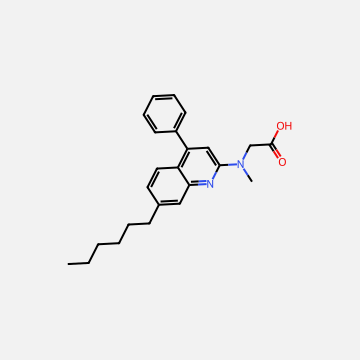 CCCCCCc1ccc2c(-c3ccccc3)cc(N(C)CC(=O)O)nc2c1